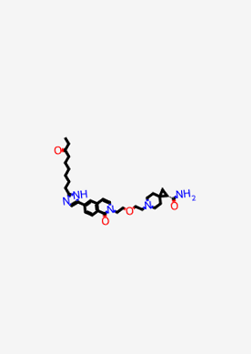 CCC(=O)CCCCCCc1ncc(-c2ccc3c(=O)n(CCOCCN4CCC5(CC4)C[C@@H]5C(N)=O)ccc3c2)[nH]1